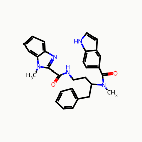 CN(C(=O)c1ccc2[nH]ccc2c1)C(CCNC(=O)c1nc2ccccc2n1C)Cc1ccccc1